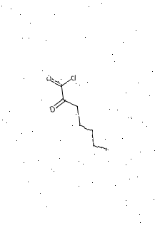 CCCCCC(=O)C(=O)Cl